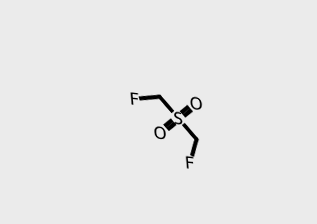 O=S(=O)(CF)CF